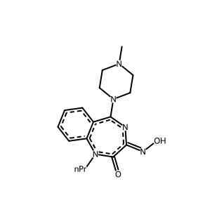 CCCn1c(=O)c(=NO)nc(N2CCN(C)CC2)c2ccccc21